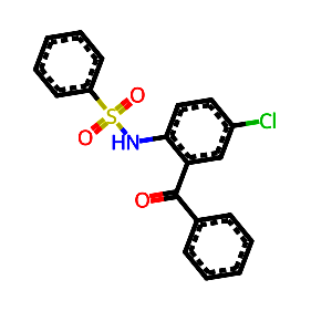 O=C(c1ccccc1)c1cc(Cl)ccc1NS(=O)(=O)c1ccccc1